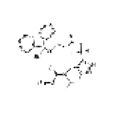 C=C(CCO[Si](c1ccccc1)(c1ccccc1)C(C)(C)C)CC(F)(F)c1[nH]nc2c1CN(C(=O)OC(C)(C)C)C(C)C2